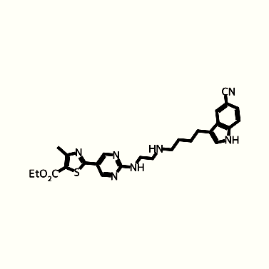 CCOC(=O)c1sc(-c2cnc(NCCNCCCCc3c[nH]c4ccc(C#N)cc34)nc2)nc1C